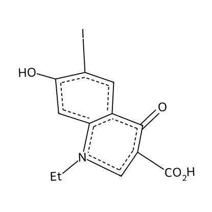 CCn1cc(C(=O)O)c(=O)c2cc(I)c(O)cc21